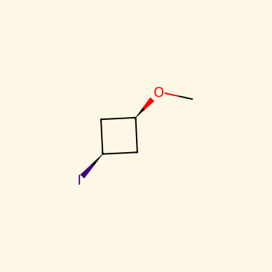 CO[C@H]1C[C@@H](I)C1